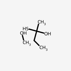 CCC(C)(O)S.CO